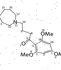 COc1cc(OC)c(C(=O)CCCN2CCCCCC2)c(OC)c1